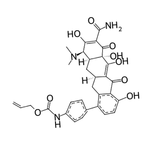 C=CCOC(=O)Nc1ccc(-c2ccc(O)c3c2C[C@H]2C[C@H]4[C@@H](N(C)C)C(O)=C(C(N)=O)C(=O)[C@@]4(O)C(O)=C2C3=O)cc1